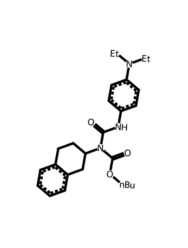 CCCCOC(=O)N(C(=O)Nc1ccc(N(CC)CC)cc1)C1CCc2ccccc2C1